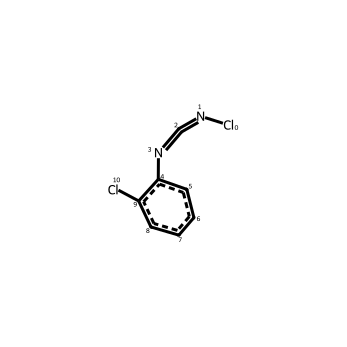 ClN=C=Nc1ccccc1Cl